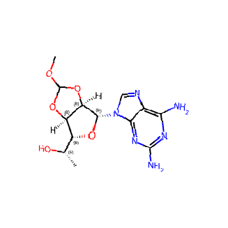 COC1O[C@H]2[C@@H](O1)[C@H](n1cnc3c(N)nc(N)nc31)O[C@@H]2[C@H](C)O